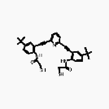 CC(C)(C)c1ccc(NC(=O)CS)c(C#Cc2cccc(C#Cc3cc(C(C)(C)C)ccc3NC(=O)CS)n2)c1